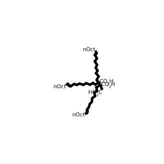 CCCCCCCCC=CCCCCCCCCC(CCCCCCCCC=CCCCCCCCC)(C(=O)O)C(CCCCCCCCC=CCCCCCCCC)(CC(=O)O)C(=O)O